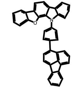 c1ccc2c(c1)-c1cccc3c(-c4ccc(-n5c6ccccc6c6ccc7c8ccccc8oc7c65)cc4)ccc-2c13